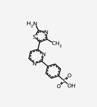 Cc1nc(N)sc1-c1ccnc(-c2ccc(S(=O)(=O)O)cc2)n1